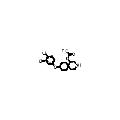 O=C(OC1CNCCC12CCC(Oc1ccc(Cl)c(Cl)c1)CC2)C(F)(F)F